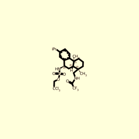 CC(C)c1ccc2c(c1)[C@H](NS(=O)(=O)OCC(Cl)(Cl)Cl)C[C@H]1[C@](C)(CNC(=O)C(F)(F)F)CCC[C@]21C